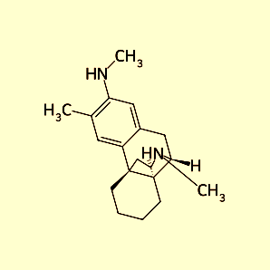 CNc1cc2c(cc1C)[C@@]13CCCC[C@@H]1[C@@H](C2)N(C)CC3